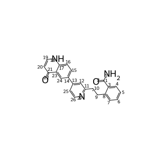 NC(=O)c1ccccc1C[CH]c1cc(-c2ccc3[nH]ccc(=O)c3c2)ccn1